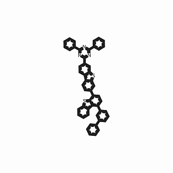 c1ccc(-c2cccc(-c3ccc(-c4ccc5c(c4)sc4cc(-c6nc(-c7ccccc7)nc(-c7ccccc7)n6)ccc45)c4sc5ccccc5c34)c2)cc1